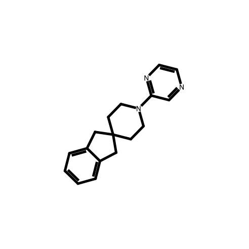 c1ccc2c(c1)CC1(CCN(c3cnccn3)CC1)C2